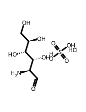 Cl.N[C@H](C=O)[C@@H](O)[C@H](O)[C@H](O)CO.O=S(=O)(O)O